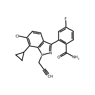 C#CCn1nc(-c2cc(F)ccc2C(N)=O)c2ccc(Cl)c(C3CC3)c21